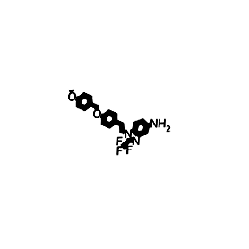 COc1ccc(COc2ccc(CCn3c(C(F)(F)F)nc4cc(N)ccc43)cc2)cc1